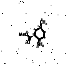 COC(=O)[C@@H]1CN(C)CCC1N